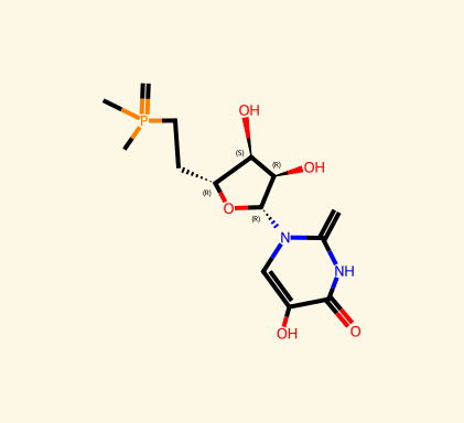 C=C1NC(=O)C(O)=CN1[C@@H]1O[C@H](CCP(=C)(C)C)[C@@H](O)[C@H]1O